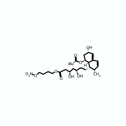 CC[C@H](C)C(=O)O[C@H]1C[C@H](O)C=C2C=C[C@H](C)[C@H](CC[C@@H](O)C[C@@H](O)CC(=O)OCCCCO[N+](=O)[O-])[C@H]21